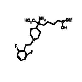 NC(CCCCB(O)O)(C(=O)O)C1CCN(CCc2c(F)cccc2F)CC1